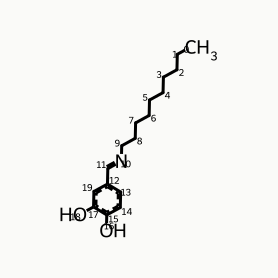 CCCCCCCCCCN=Cc1ccc(O)c(O)c1